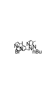 CCCCc1nc2c(C)ccnc2n1Cc1ccc(C2(C#N)N=CC=C2I)c(Br)c1